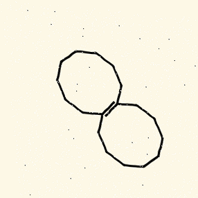 C1CCCCC2=C(CCC1)CCCCCCCC2